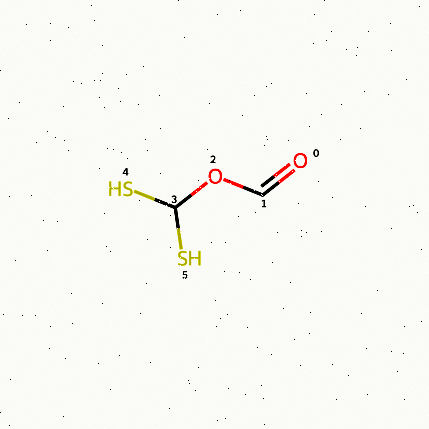 O=COC(S)S